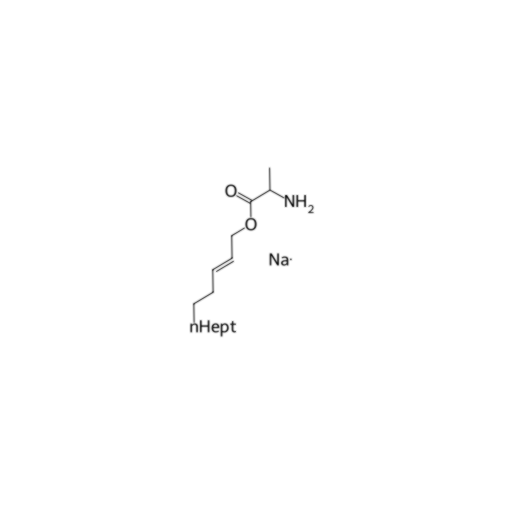 CCCCCCCCCC=CCOC(=O)C(C)N.[Na]